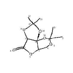 CC1(C)OCC2OC(=O)C3OC(C)(C)O[C@@]23O1